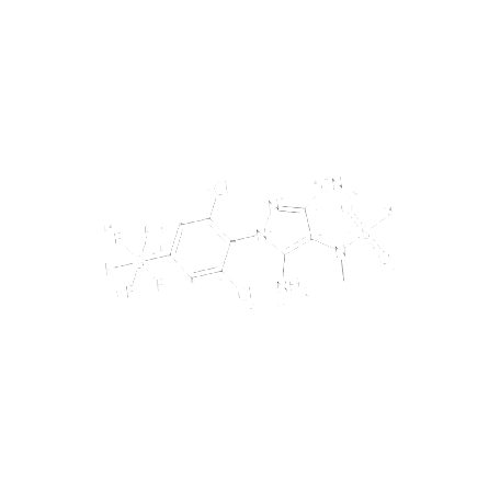 CN(c1c(C#N)nn(-c2c(Cl)cc(S(F)(F)(F)(F)F)cc2Cl)c1N)S(C)(=O)=O